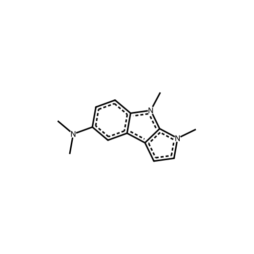 CN(C)c1ccc2c(c1)c1ccn(C)c1n2C